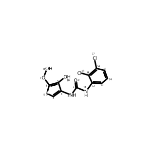 O=C(Nc1csc(OO)c1O)Nc1cccc(Cl)c1Cl